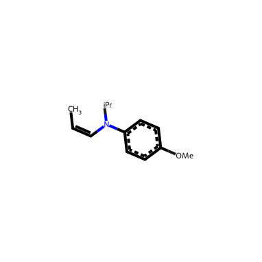 C/C=C\N(c1ccc(OC)cc1)C(C)C